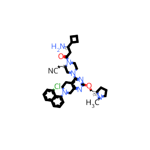 CN1CCC[C@H]1COc1nc2c(c(N3CCN(C(=O)C[C@H](N)C4CCC4)[C@@H](CC#N)C3)n1)CCN(c1cccc3cccc(Cl)c13)C2